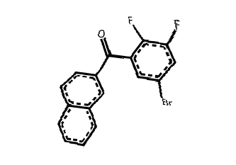 O=C(c1ccc2ccccc2c1)c1cc(Br)cc(F)c1F